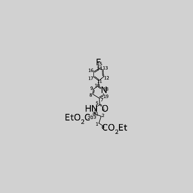 CCOC(=O)CC[C@@H](NC(=O)c1ccc(-c2ccc(F)cc2)nc1)C(=O)OCC